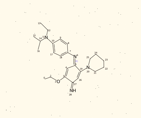 CCOC1=C/C(=N\c2ccc(N(CC)C(C)C)cc2)C(N2CCCCC2)=CC1=N